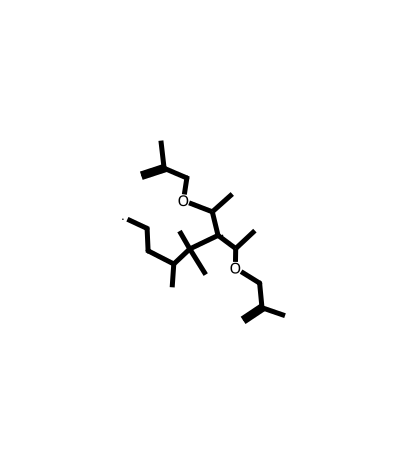 [CH2]CCC(C)C(C)(C)[C](C(C)OCC(=C)C)C(C)OCC(=C)C